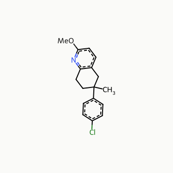 COc1ccc2c(n1)CCC(C)(c1ccc(Cl)cc1)C2